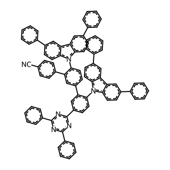 N#Cc1ccc(-c2cc(-c3cc(-c4nc(-c5ccccc5)nc(-c5ccccc5)n4)ccc3-n3c4ccc(-c5ccccc5)cc4c4cc(-c5ccccc5)ccc43)ccc2-n2c3ccc(-c4ccccc4)cc3c3cc(-c4ccccc4)ccc32)cc1